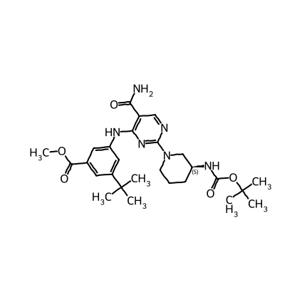 COC(=O)c1cc(Nc2nc(N3CCC[C@H](NC(=O)OC(C)(C)C)C3)ncc2C(N)=O)cc(C(C)(C)C)c1